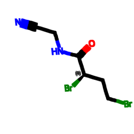 N#CCNC(=O)[C@H](Br)CCBr